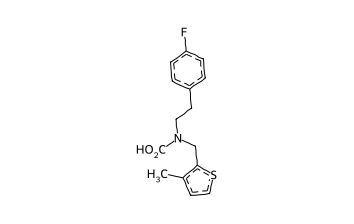 Cc1ccsc1CN(CCc1ccc(F)cc1)C(=O)O